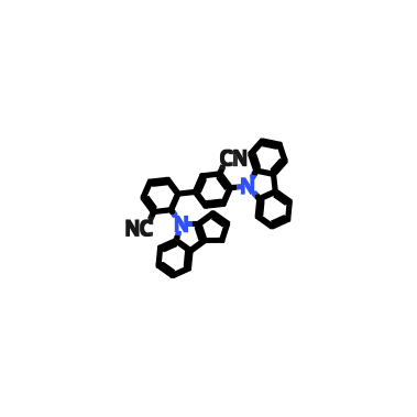 N#CC1=CC=CC(c2ccc(-n3c4ccccc4c4ccccc43)c(C#N)c2)C1n1c2c(c3ccccc31)CC=C2